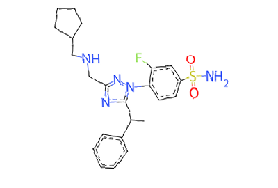 CC(c1ccccc1)c1nc(CNCC2CCCC2)nn1-c1ccc(S(N)(=O)=O)cc1F